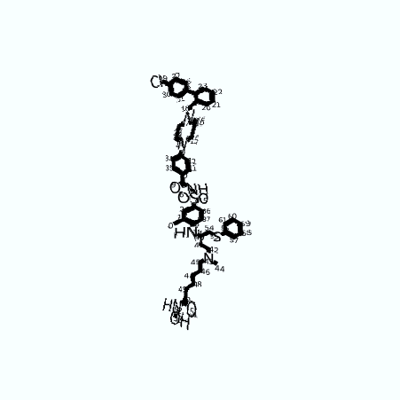 Cc1cc(S(=O)(=O)NC(=O)c2ccc(N3CCN(Cc4ccccc4-c4ccc(Cl)cc4)CC3)cc2)ccc1N[C@H](CCN(C)CCCCCC(=O)NO)CSc1ccccc1